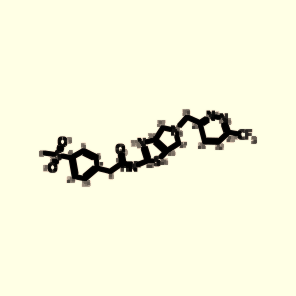 CS(=O)(=O)c1ccc(CC(=O)Nc2nc3c(s2)CN(Cc2ccc(C(F)(F)F)nn2)C3)cc1